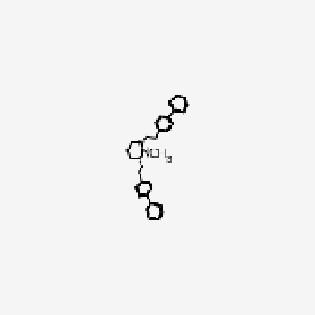 CN1[C@@H](CCc2ccc(-c3ccccc3)cc2)CCC[C@H]1CCc1ccc(-c2ccccc2)cc1